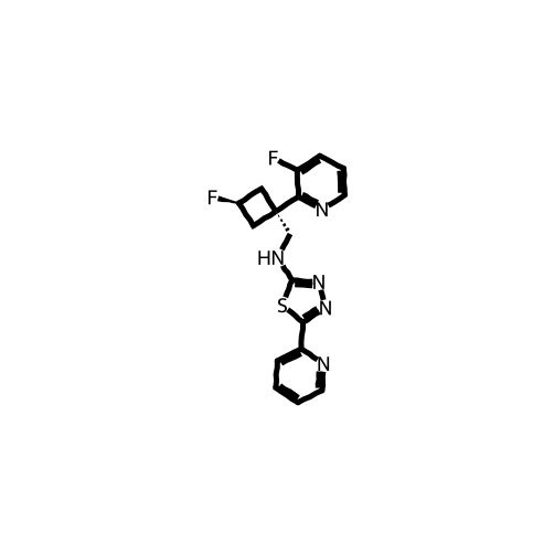 Fc1cccnc1[C@]1(CNc2nnc(-c3ccccn3)s2)C[C@H](F)C1